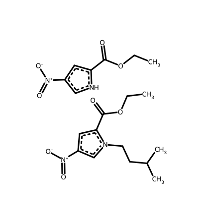 CCOC(=O)c1cc([N+](=O)[O-])c[nH]1.CCOC(=O)c1cc([N+](=O)[O-])cn1CCC(C)C